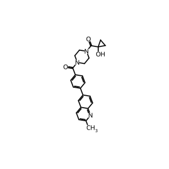 Cc1ccc2cc(-c3ccc(C(=O)N4CCN(C(=O)C5(O)CC5)CC4)cc3)ccc2n1